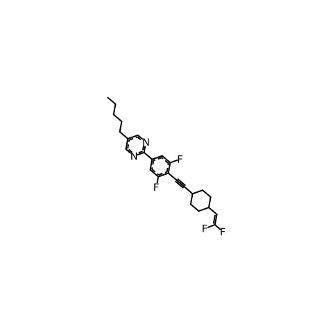 CCCCCc1cnc(-c2cc(F)c(C#CC3CCC(C=C(F)F)CC3)c(F)c2)nc1